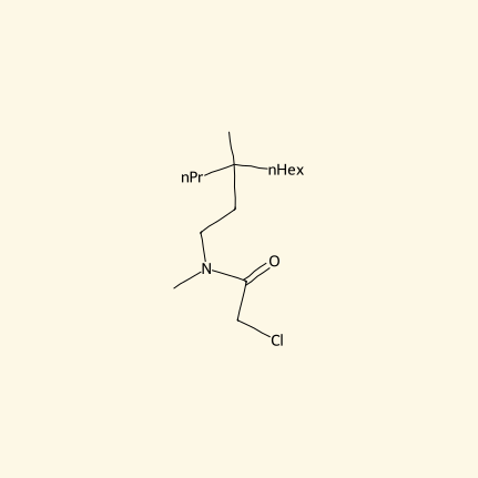 CCCCCCC(C)(CCC)CCN(C)C(=O)CCl